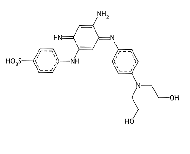 N=C1C=C(N)/C(=N/c2ccc(N(CCO)CCO)cc2)C=C1Nc1ccc(S(=O)(=O)O)cc1